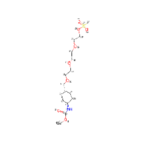 CC(C)(C)OC(=O)N[C@H]1CC[C@H](COCCOCCOCCOS(C)(=O)=O)CC1